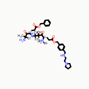 CCC(C)(N)C(=O)[C@H](CCC(=O)OCc1ccccc1)NC(C)(CC)C(C)(C)C(=O)[C@H](CCC(=O)OCc1ccc(CNCCN2CCCC2)cc1)NC(C)C